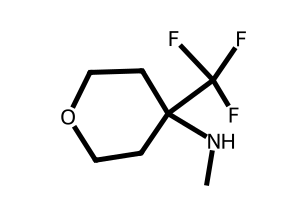 CNC1(C(F)(F)F)CCOCC1